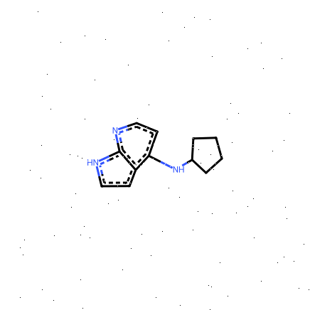 c1cc(NC2CCCC2)c2cc[nH]c2n1